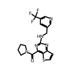 O=C(c1nc(NCc2cncc(C(F)(F)F)c2)nc2ccsc12)N1CCCC1